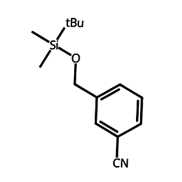 CC(C)(C)[Si](C)(C)OCc1cccc(C#N)c1